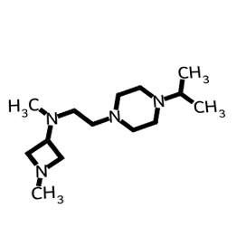 CC(C)N1CCN(CCN(C)C2CN(C)C2)CC1